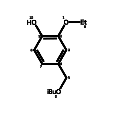 CCOc1cc(COCC(C)C)ccc1O